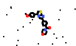 COc1ccc(-c2csc3nc(-c4ccc(C(=O)N5CCOCC5)cc4)cn23)cc1